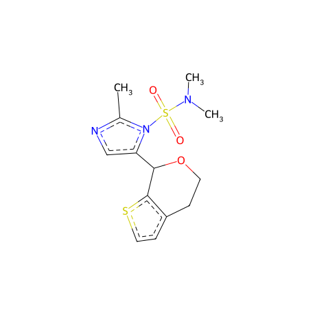 Cc1ncc(C2OCCc3ccsc32)n1S(=O)(=O)N(C)C